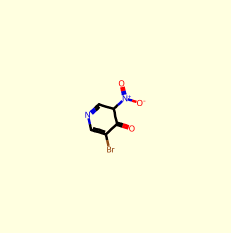 O=C1C(Br)=CN=CC1[N+](=O)[O-]